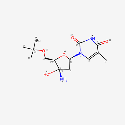 Cc1cn([C@H]2C[C@](N)(O)[C@@H](CO[Si](C)(C)C(C)(C)C)O2)c(=O)[nH]c1=O